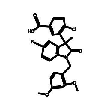 COc1ccc(CN2C(=O)C(C)(c3cc(C(=O)O)ccc3Cl)c3cc(F)ccc32)c(OC)c1